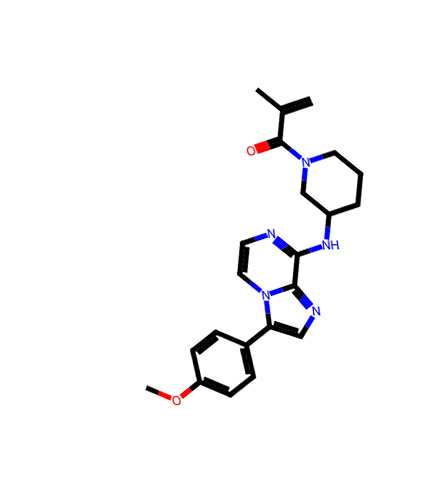 C=C(C)C(=O)N1CCCC(Nc2nccn3c(-c4ccc(OC)cc4)cnc23)C1